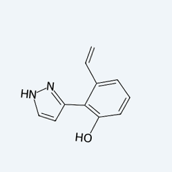 C=Cc1cccc(O)c1-c1cc[nH]n1